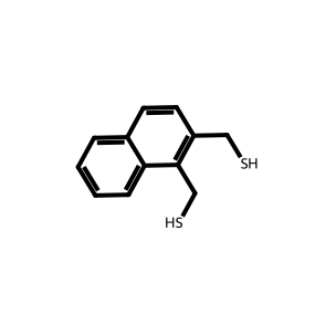 SCc1ccc2ccccc2c1CS